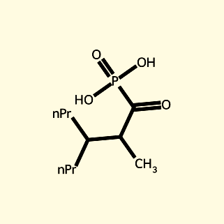 CCCC(CCC)C(C)C(=O)P(=O)(O)O